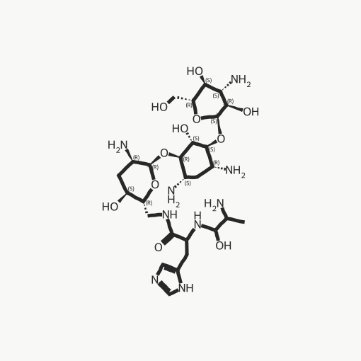 CC(N)C(O)NC(Cc1cnc[nH]1)C(=O)NC[C@H]1O[C@H](O[C@H]2[C@H](O)[C@@H](O[C@H]3O[C@H](CO)[C@@H](O)[C@H](N)[C@H]3O)[C@H](N)C[C@@H]2N)[C@H](N)C[C@@H]1O